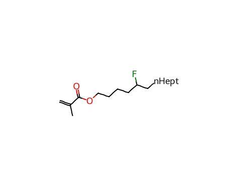 C=C(C)C(=O)OCCCCC(F)CCCCCCCC